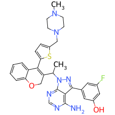 CC(C1=C(c2ccc(CN3CCN(C)CC3)s2)c2ccccc2OC1)n1nc(-c2cc(O)cc(F)c2)c2c(N)ncnc21